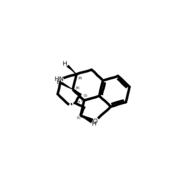 [c]1ccc2c3c1C[C@H]1NCC[C@@]34[C@H](CCC[C@@H]14)O2